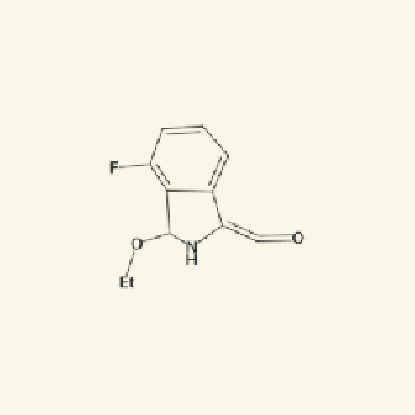 CCOC1NC(=C=O)c2cccc(F)c21